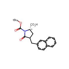 CC(C)(C)OC(=O)N1C(=O)C(Cc2ccc3ccccc3c2)C[C@H]1C(=O)O